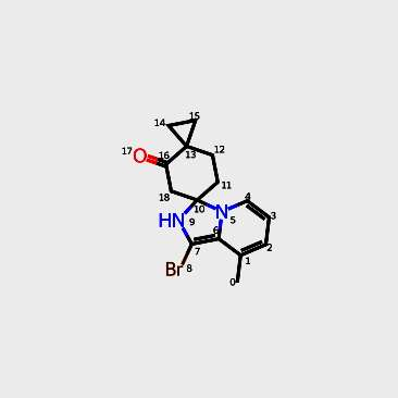 CC1=CC=CN2C1=C(Br)NC21CCC2(CC2)C(=O)C1